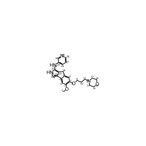 COc1cc2c(cc1OCCCN1CCOCC1)Cc1c-2n[nH]c1Nc1cccnc1